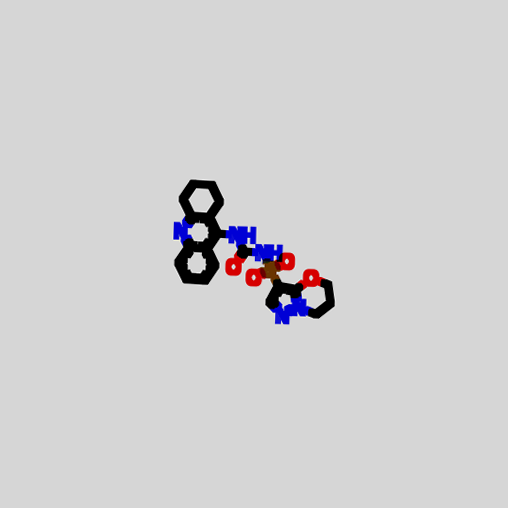 O=C(Nc1c2c(nc3ccccc13)CCCC2)NS(=O)(=O)c1cnn2c1OCCC2